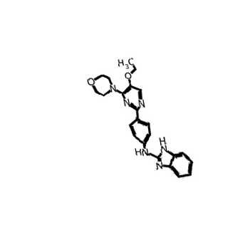 CCOc1cnc(-c2ccc(Nc3nc4ccccc4[nH]3)cc2)nc1N1CCOCC1